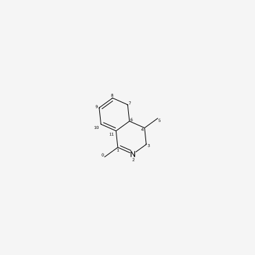 CC1=NCC(C)C2CC=CC=C12